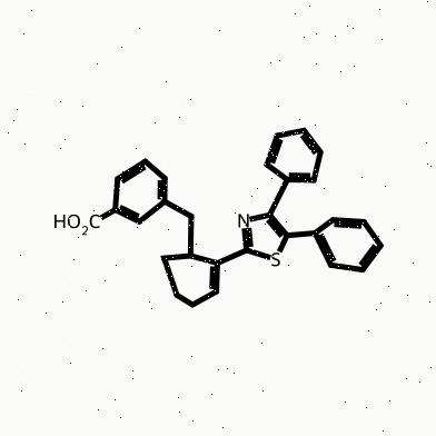 O=C(O)c1cccc(CC2CCCC=C2c2nc(-c3ccccc3)c(-c3ccccc3)s2)c1